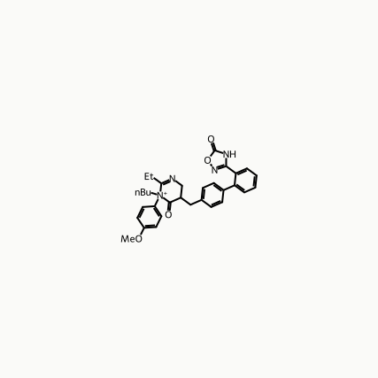 CCCC[N+]1(c2ccc(OC)cc2)C(=O)C(Cc2ccc(-c3ccccc3-c3noc(=O)[nH]3)cc2)CN=C1CC